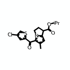 Cc1cc2n(c1C(=O)c1cc(Cl)cs1)CCC2C(=O)OC(C)C